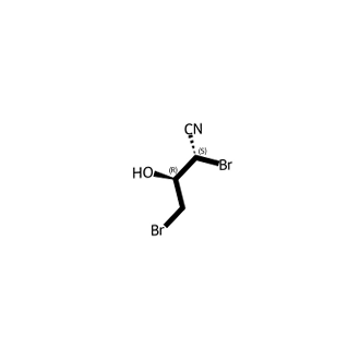 N#C[C@H](Br)[C@H](O)CBr